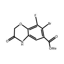 COC(=O)c1cc2c(c(F)c1Br)OCC(=O)N2